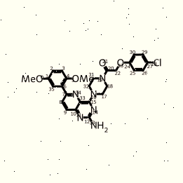 COc1ccc(OC)c(-c2ccc3nc(N)nc(N4CCN(C(=O)COc5ccc(Cl)cc5)CC4)c3n2)c1